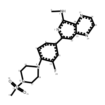 CNc1nc(-c2ccc(N3CCN(S(C)(=O)=O)CC3)c(F)c2)cc2nccnc12